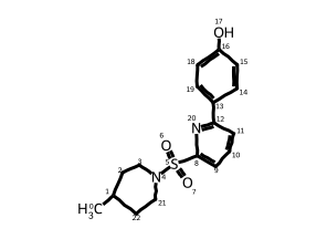 CC1CCN(S(=O)(=O)c2cccc(-c3ccc(O)cc3)n2)CC1